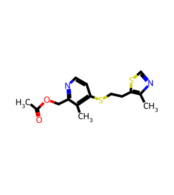 CC(=O)OCc1nccc(SCCc2scnc2C)c1C